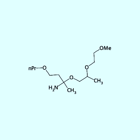 CCCOCCC(C)(N)OCC(C)OCCOC